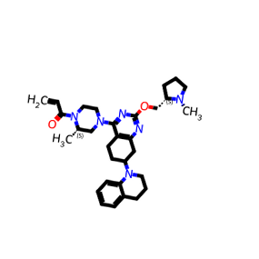 C=CC(=O)N1CCN(c2nc(OC[C@@H]3CCCN3C)nc3c2CCC(N2CCCc4ccccc42)C3)C[C@@H]1C